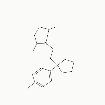 Cc1ccc(C2(CCN3C(C)CCC3C)CCCC2)cc1